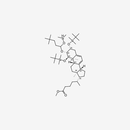 COC(=O)CCCC(C)[C@H]1CC[C@H]2C3=CC=C4C[C@@H](O[Si](C)(C)C(C)(C)C)[C@@H](OC(CCC(C)(C)C)O[SiH](C)C)[C@H](O[Si](C)(C)C(C)(C)C)[C@]4(C)[C@H]3CC[C@]12C